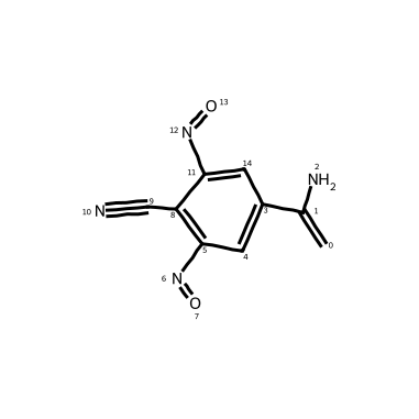 C=C(N)c1cc(N=O)c(C#N)c(N=O)c1